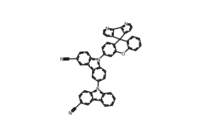 N#Cc1ccc2c(c1)c1ccccc1n2-c1ccc2c(c1)c1cc(C#N)ccc1n2-c1ccc2c(c1)Oc1ccccc1C21c2cccnc2-c2ncccc21